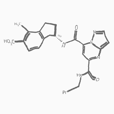 Cc1c(C(=O)O)ccc2c1CC[C@@H]2NC(=O)c1cc(C(=O)NCC(C)C)nc2ccnn12